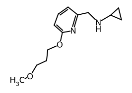 COCCCOc1cccc(CNC2CC2)n1